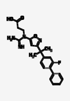 CC(C)(c1ccc(-c2ccccc2)c(F)c1)c1cc(N(CCC(=O)O)C(=N)N)on1